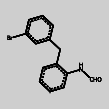 O=CNc1c[c]ccc1Cc1cccc(Br)c1